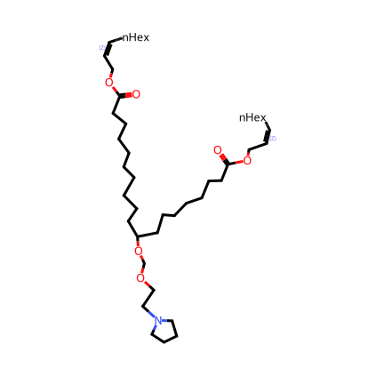 CCCCCC/C=C\COC(=O)CCCCCCCCCC(CCCCCCCC(=O)OC/C=C\CCCCCC)OCOCCN1CCCC1